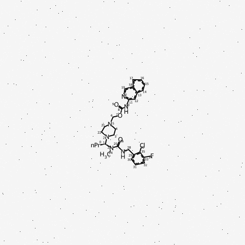 CCC[C@@H](N1CCN(COC(=O)Nc2cc3ccccc3cn2)CC1)N(C)C(=O)NCc1cccc(F)c1Cl